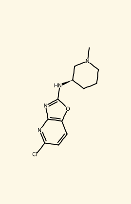 CN1CCC[C@@H](Nc2nc3nc(Cl)ccc3o2)C1